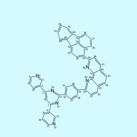 c1cncc(-c2cc(-c3cccnc3)nc(-c3ccc(-c4ccc5ccc6ccc(-c7ccc8c9c(cccc79)-c7ccccc7-8)nc6c5n4)cc3)n2)c1